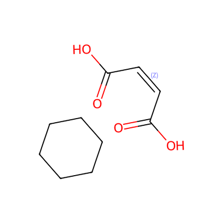 C1CCCCC1.O=C(O)/C=C\C(=O)O